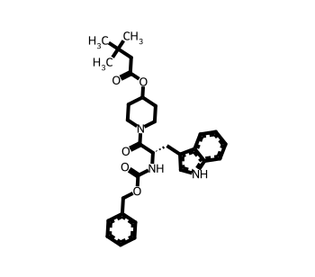 CC(C)(C)CC(=O)OC1CCN(C(=O)[C@H](Cc2c[nH]c3ccccc23)NC(=O)OCc2ccccc2)CC1